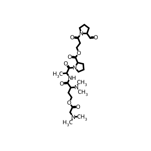 CC(NC(=O)C(CCOC(=O)CN(C)C)N(C)C)C(=O)N1CCCC1C(=O)OCCC(=O)N1CCCC1C=O